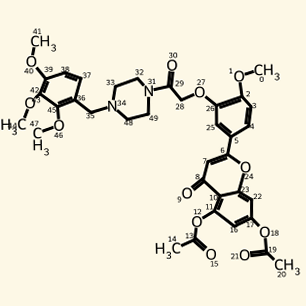 COc1ccc(-c2cc(=O)c3c(OC(C)=O)cc(OC(C)=O)cc3o2)cc1OCC(=O)N1CCN(Cc2ccc(OC)c(OC)c2OC)CC1